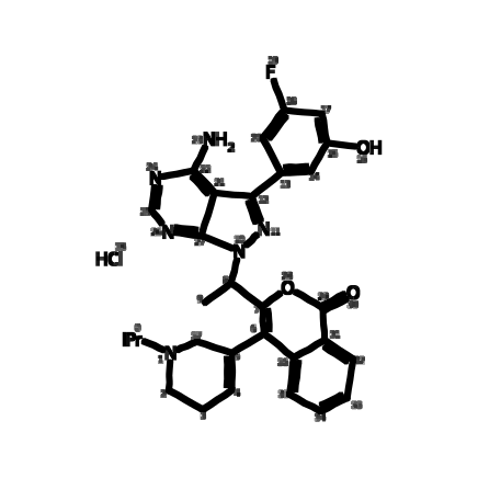 CC(C)N1CCC=C(c2c(C(C)n3nc(-c4cc(O)cc(F)c4)c4c(N)ncnc43)oc(=O)c3ccccc23)C1.Cl